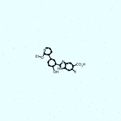 CCOc1ncccc1-c1ccc(O)c(-c2nc3cc(C(=O)O)c(F)cc3[nH]2)c1